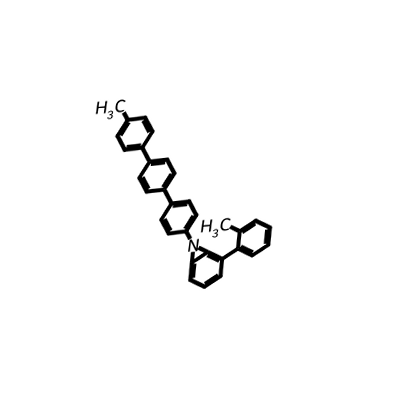 Cc1ccc(-c2ccc(-c3ccc(N4c5cccc(-c6ccccc6C)c54)cc3)cc2)cc1